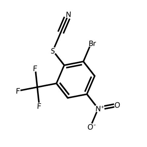 N#CSc1c(Br)cc([N+](=O)[O-])cc1C(F)(F)F